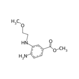 COCCNc1cc(C(=O)OC)ccc1N